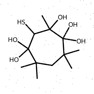 CC1(C)CC(C)(C)C(O)(O)C(C)(O)C(S)C1(O)O